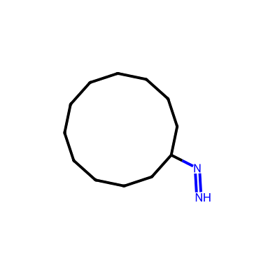 N=NC1CCCCCCCCCCC1